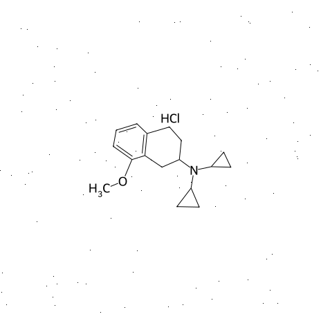 COc1cccc2c1CC(N(C1CC1)C1CC1)CC2.Cl